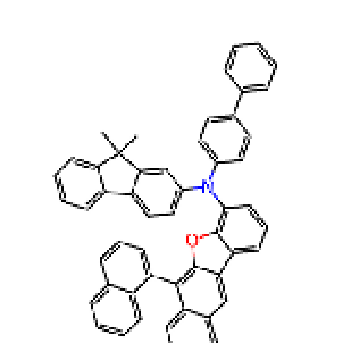 CC1(C)c2ccccc2-c2ccc(N(c3ccc(-c4ccccc4)cc3)c3cccc4c3oc3c(-c5cccc6ccccc56)c5ccccc5cc34)cc21